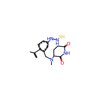 C=C(C)c1ccc(NNS)cc1CN(C)C1CCC(=O)NC1=O